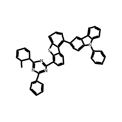 CC1C=CC=CC1c1nc(-c2ccccc2)nc(-c2cccc3c2sc2cccc(-c4ccc5c(c4)c4ccccc4n5-c4ccccc4)c23)n1